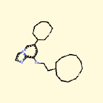 c1cn2cc(C3CCCCCCC3)cc(NCCC3CCCCCCCCCCC3)c2n1